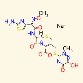 CO/N=C(\C(=O)NC1C(=O)N2C(C(=O)[O-])=C(CSc3nc(=O)c(O)nn3C)CS[C@@H]12)c1csc(N)n1.[Na+]